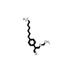 CCCCCCCc1ccc(/C(C=O)=C\OCC)cc1